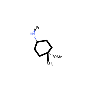 CO[C@]1(C)CC[C@H](NC(C)C)CC1